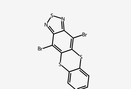 Brc1c2c(c(Br)c3nsnc13)Sc1ccccc1S2